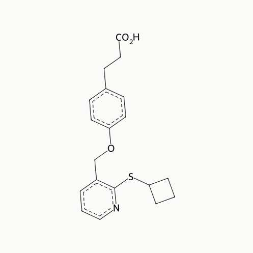 O=C(O)CCc1ccc(OCc2cccnc2SC2CCC2)cc1